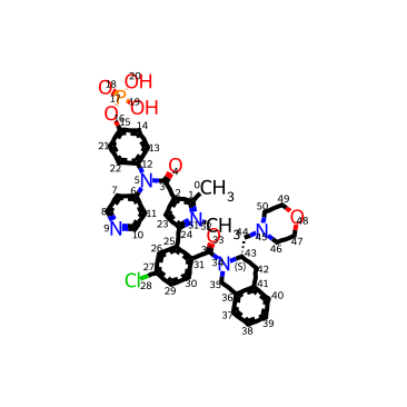 Cc1c(C(=O)N(c2ccncc2)c2ccc(OP(=O)(O)O)cc2)cc(-c2cc(Cl)ccc2C(=O)N2Cc3ccccc3C[C@H]2CN2CCOCC2)n1C